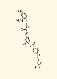 COc1cc(/C=C/C(=O)OCCc2ccc(N)cc2N)ccc1OC(=O)c1ccc(OCCCC(F)(F)F)cc1